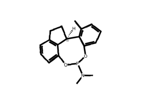 Cc1cccc2c1[C@@H]1CCc3cccc(c31)OP(N(C)C)O2